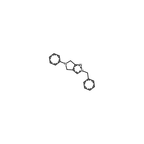 c1ccc(Cn2cc3c(n2)CN(c2ccccc2)C3)cc1